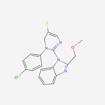 COCc1nc2ccccc2n1C1=NC=C(F)CN1c1ccc(Cl)cc1